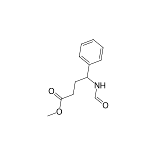 COC(=O)CCC(NC=O)c1ccccc1